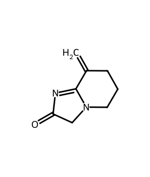 C=C1CCCN2CC(=O)N=C12